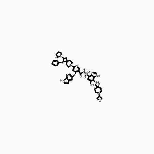 CC(C)c1ccccc1[C@@H]1CCCN1C1CC2(CCN(c3cc(Oc4cnc5[nH]ccc5c4)c(C(=O)NS(=O)(=O)c4cc([N+](=O)[O-])c(NCC5(F)CCN(C6COC6)CC5)c5[nH]cnc45)cn3)CC2)C1